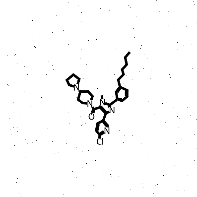 CCCCCCc1cccc(-c2nc(-c3ccc(Cl)nc3)c(C(=O)N3CCC(N4CCCC4)CC3)n2C)c1